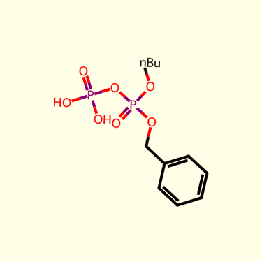 CCCCOP(=O)(OCc1ccccc1)OP(=O)(O)O